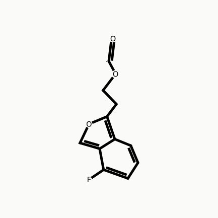 O=[C]OCCc1occ2c(F)cccc12